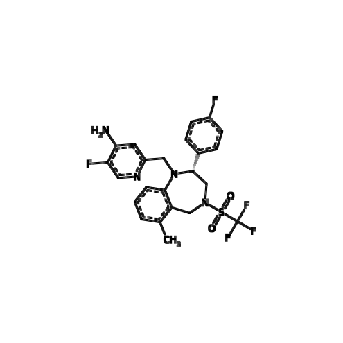 Cc1cccc2c1CN(S(=O)(=O)C(F)(F)F)C[C@@H](c1ccc(F)cc1)N2Cc1cc(N)c(F)cn1